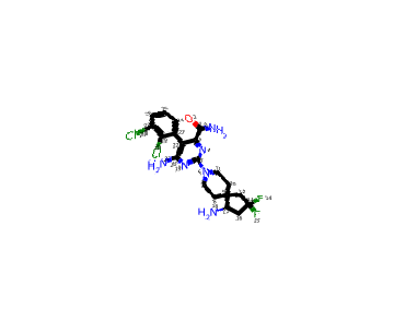 NC(=O)c1nc(N2CCC3(CC2)CC(F)(F)C[C@H]3N)nc(N)c1-c1cccc(Cl)c1Cl